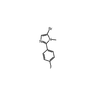 Cn1c(Br)cnc1-c1ccc(F)cc1